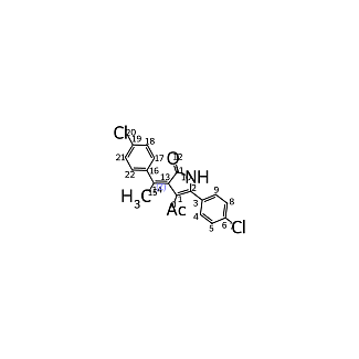 CC(=O)C1=C(c2ccc(Cl)cc2)NC(=O)/C1=C(/C)c1ccc(Cl)cc1